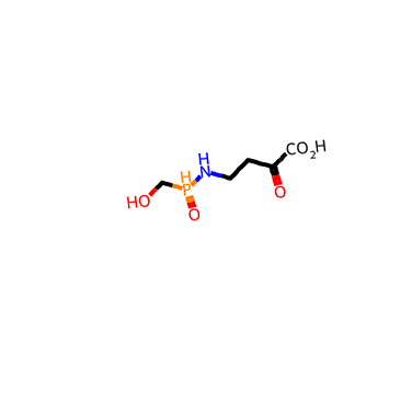 O=C(O)C(=O)CCN[PH](=O)CO